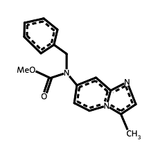 COC(=O)N(Cc1ccccc1)c1ccn2c(C)cnc2c1